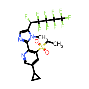 CCS(=O)(=O)c1cc(C2CC2)cnc1-c1ncc([C@@H](F)C(F)(F)C(F)(F)C(F)(F)C(F)(F)F)n1C